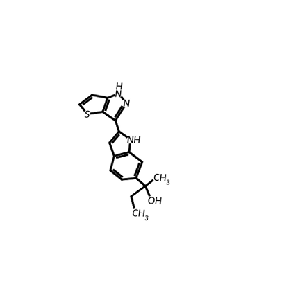 CCC(C)(O)c1ccc2cc(-c3n[nH]c4ccsc34)[nH]c2c1